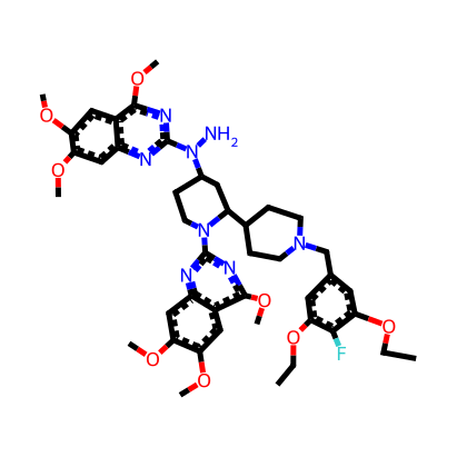 CCOc1cc(CN2CCC(C3CC(N(N)c4nc(OC)c5cc(OC)c(OC)cc5n4)CCN3c3nc(OC)c4cc(OC)c(OC)cc4n3)CC2)cc(OCC)c1F